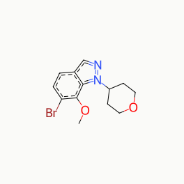 COc1c(Br)ccc2cnn(C3CCOCC3)c12